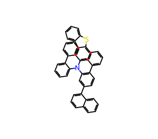 c1ccc(-c2ccccc2N(c2ccc3sc4ccccc4c3c2)c2cc(-c3cccc4ccccc34)ccc2-c2ccccc2)cc1